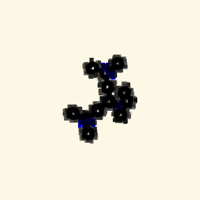 c1ccc(-c2cc(-c3ccc(-c4cc(-c5ccc(-c6cc(-c7ccccc7)nc(-c7ccccc7)n6)cc5)cc(-n5c6ccccc6c6ccc7ccccc7c65)c4)cc3)nc(-c3ccccc3)n2)cc1